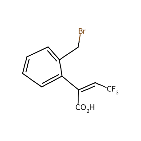 O=C(O)C(=CC(F)(F)F)c1ccccc1CBr